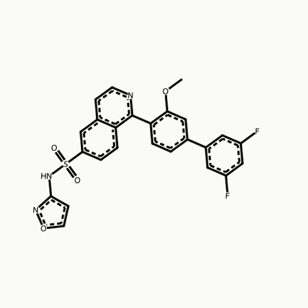 COc1cc(-c2cc(F)cc(F)c2)ccc1-c1nccc2cc(S(=O)(=O)Nc3ccon3)ccc12